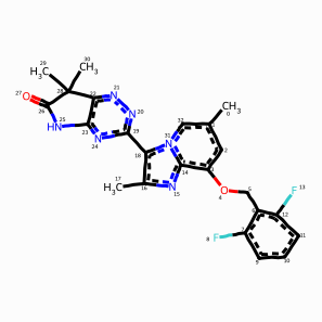 Cc1cc(OCc2c(F)cccc2F)c2nc(C)c(-c3nnc4c(n3)NC(=O)C4(C)C)n2c1